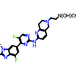 Cc1nc2c(F)cc(-c3nc(Nc4ccc5c(n4)CCN(CCN(C)O)C5)ncc3F)cc2n1C(C)C